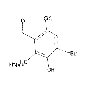 Cc1cc(C(C)(C)C)c(O)c(C)c1CCl.[NaH]